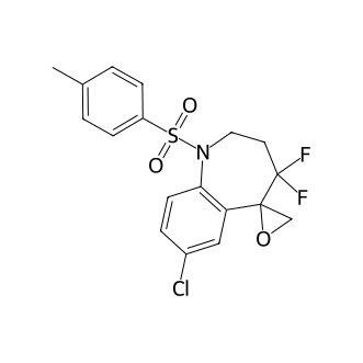 Cc1ccc(S(=O)(=O)N2CCC(F)(F)C3(CO3)c3cc(Cl)ccc32)cc1